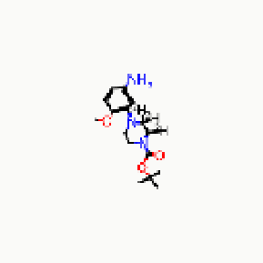 [2H]C1N(C(=O)OC(C)(C)C)CCN(c2cc(N)ccc2OC)C1([2H])[2H]